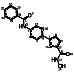 O=C(Nc1ccc(-c2ccc(C(=O)NO)s2)nc1)c1ccccc1